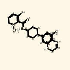 CN1CC=CC(F)=C1C(=O)NC1CCC(c2cc(Cl)c3c(c2)NCC=N3)CC1